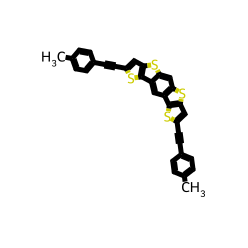 Cc1ccc(C#Cc2cc3sc4cc5sc6cc(C#Cc7ccc(C)cc7)sc6c5cc4c3s2)cc1